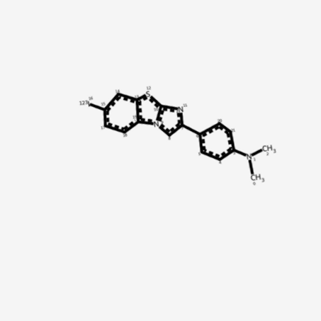 CN(C)c1ccc(-c2cn3c(n2)sc2cc([123I])ccc23)cc1